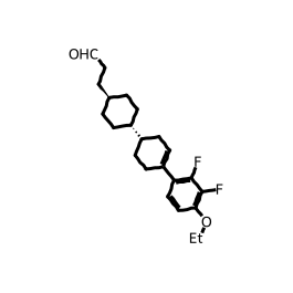 CCOc1ccc(C2=CCC([C@H]3CC[C@H](CCC=O)CC3)CC2)c(F)c1F